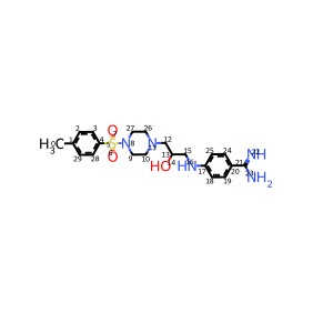 Cc1ccc(S(=O)(=O)N2CCN(CC(O)CNc3ccc(C(=N)N)cc3)CC2)cc1